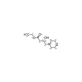 CCOC(=O)C[C@H](O)CN1CCOCC1